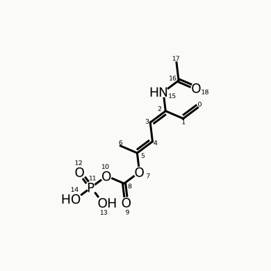 C=C/C(=C\C=C(/C)OC(=O)OP(=O)(O)O)NC(C)=O